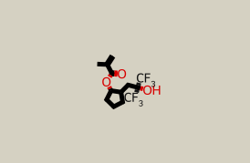 C=C(C)C(=O)OC1CCCC1CC(O)(C(F)(F)F)C(F)(F)F